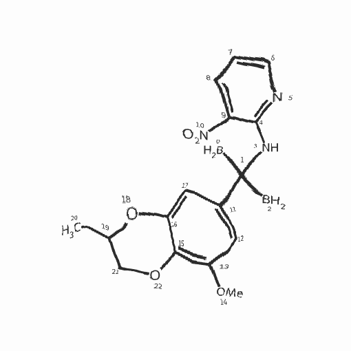 BC(B)(Nc1ncccc1[N+](=O)[O-])c1cc(OC)c2c(c1)OC(C)CO2